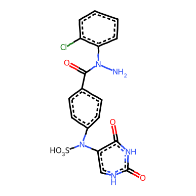 NN(C(=O)c1ccc(N(c2c[nH]c(=O)[nH]c2=O)S(=O)(=O)O)cc1)c1ccccc1Cl